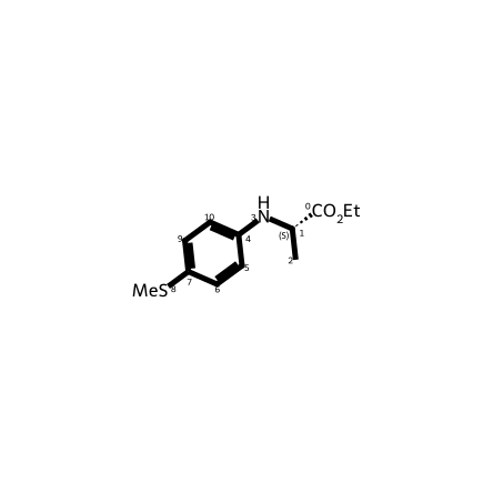 CCOC(=O)[C@H](C)Nc1ccc(SC)cc1